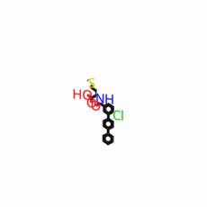 CSCC[C@@H](NC(=O)c1ccc(Cl)c(-c2ccc(-c3ccccc3)cc2)c1)C(=O)O